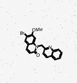 COc1cc2c(ccc(=O)n2Cc2ccc3ccccc3n2)cc1Br